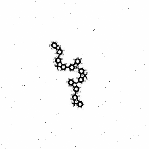 CC1(C)c2ccccc2-c2cc(-c3ccc4c(c3)-c3ccccc3C4c3ccc4c(c3)-c3cc(-n5c6ccccc6c6cc(-c7ccc8c(c7)-c7cc(-c9ccc%10oc%11ccccc%11c%10c9)ccc7C8(C)C)ccc65)ccc3C4(C)C)ccc21